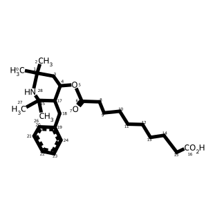 CC1(C)CC(OC(=O)CCCCCCCCC(=O)O)C(Cc2ccccc2)C(C)(C)N1